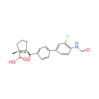 C[C@@]1(C(=O)O)CCC[C@H]1C(=O)c1ccc(-c2ccc(NC=O)c(F)c2)cc1